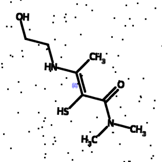 C/C(NCCO)=C(/S)C(=O)N(C)C